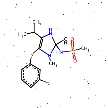 CC(C)C1=C(Sc2cccc(Cl)c2)N(C)C(C)(NS(C)(=O)=O)N1